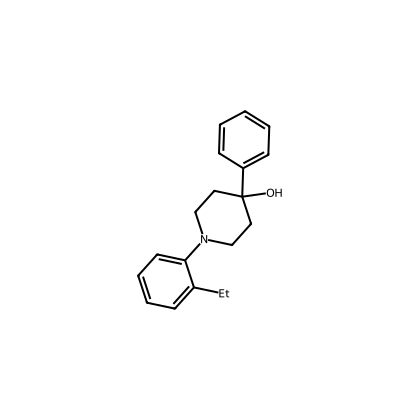 CCc1ccccc1N1CCC(O)(c2ccccc2)CC1